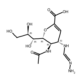 CC(=O)N[C@H]1[C@H]([C@H](O)[C@H](O)CO)OC(C(=O)O)=C[C@@H]1NC=NN